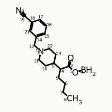 BOC(=O)C(CCCC)C1CCN(Cc2cccc(C#N)c2)CC1